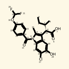 CCC(C)[C@H](C(=O)O)c1c(C)n(C(=O)c2ccc(OC(F)F)cc2)c2cc(Cl)c(O)cc12